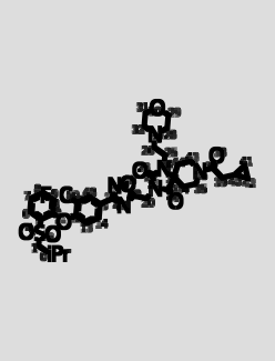 CC(C)CS(=O)(=O)c1ccccc1Oc1ccc(-c2noc(CN3C(=O)N(CCN4CCOCC4)C4(CCN(C(=O)CC5CC5)CC4)C3=O)n2)cc1C(F)(F)F